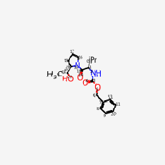 CC(C)[C@@H](NC(=O)OCc1ccccc1)C(=O)N1CCCC1[C@@H](C)O